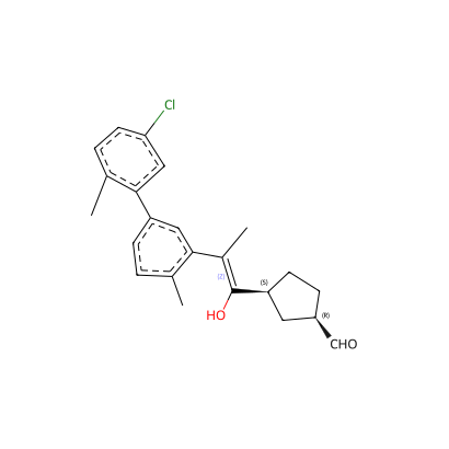 C/C(=C(/O)[C@H]1CC[C@@H](C=O)C1)c1cc(-c2cc(Cl)ccc2C)ccc1C